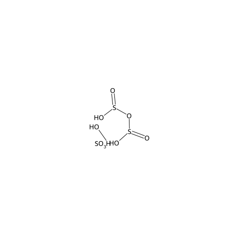 O=S(=O)(O)O.O=S(O)OS(=O)O